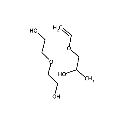 C=COCC(C)O.OCCOCCO